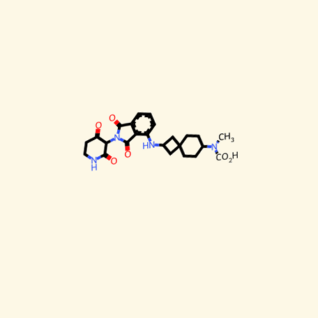 CN(C(=O)O)C1CCC2(CC1)CC(Nc1cccc3c1C(=O)N(C1C(=O)CCNC1=O)C3=O)C2